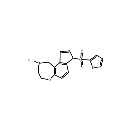 CN1CCOc2ccc3c(ccn3S(=O)(=O)c3cccs3)c2C1